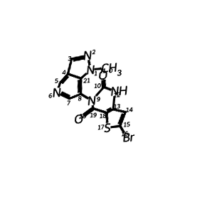 Cn1ncc2cncc(-n3c(=O)[nH]c4cc(Br)sc4c3=O)c21